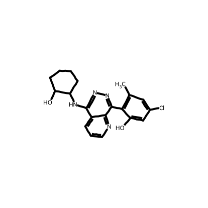 Cc1cc(Cl)cc(O)c1-c1nnc(NC2CCCCC2O)c2cccnc12